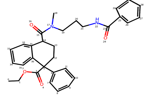 CCOC(=O)C1(c2ccccc2)CCC(C(=O)N(C)CCCNC(=O)c2ccccc2)c2ccccc21